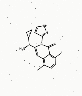 N[C@H](c1nc2c(F)ccc(F)c2c(=O)n1-c1cc[nH]n1)C1CC1